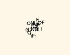 CC(C)c1ccc2c(c1)C(NC[C@@H](O)[C@H](Cc1cc(F)cc(F)c1)NC(=O)Nc1ccccc1)CCO2